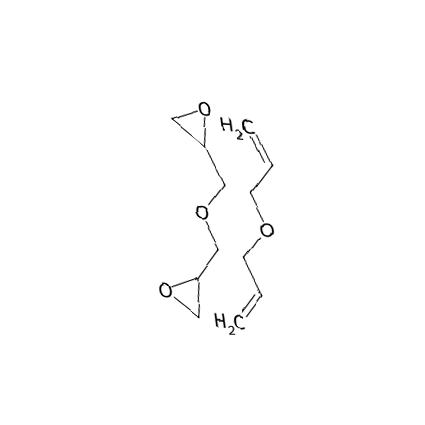 C(OCC1CO1)C1CO1.C=CCOCC=C